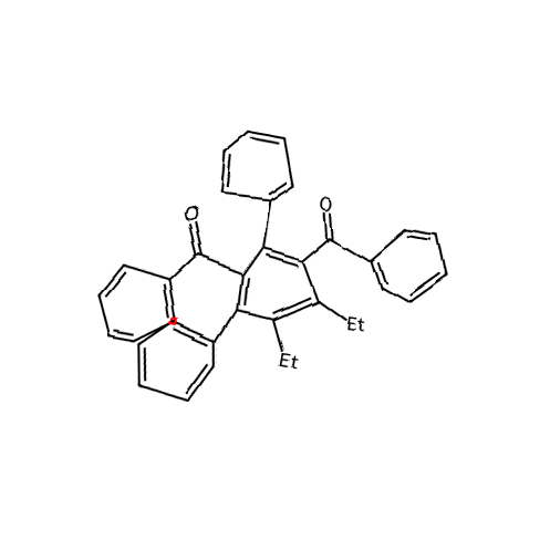 CCc1c(CC)c(-c2ccccc2)c(C(=O)c2ccccc2)c(-c2ccccc2)c1C(=O)c1ccccc1